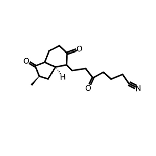 C[C@@H]1C[C@@H]2C(CCC(=O)CCCC#N)C(=O)CCC2C1=O